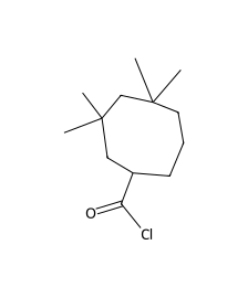 CC1(C)CCCC(C(=O)Cl)CC(C)(C)C1